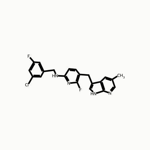 Cc1cnc2[nH]cc(Cc3ccc(NCc4cc(F)cc(Cl)c4)nc3F)c2c1